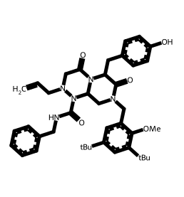 C=CCN1CC(=O)N2C(Cc3ccc(O)cc3)C(=O)N(Cc3cc(C(C)(C)C)cc(C(C)(C)C)c3OC)CC2N1C(=O)NCc1ccccc1